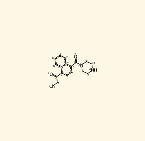 O=C(CCl)c1ccc(C(=O)N2CCNCC2)c2ccccc12